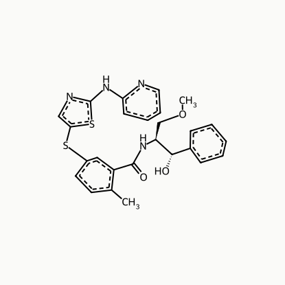 COC[C@H](NC(=O)c1cc(Sc2cnc(Nc3ccccn3)s2)ccc1C)[C@@H](O)c1ccccc1